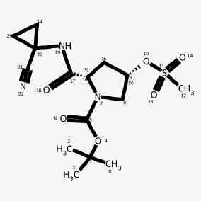 CC(C)(C)OC(=O)N1C[C@@H](OS(C)(=O)=O)C[C@H]1C(=O)NC1(C#N)CC1